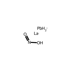 O=NO.[La].[PbH2]